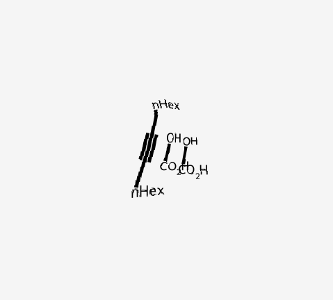 CCCCCCC#CCCCCCC.O=C(O)O.O=C(O)O